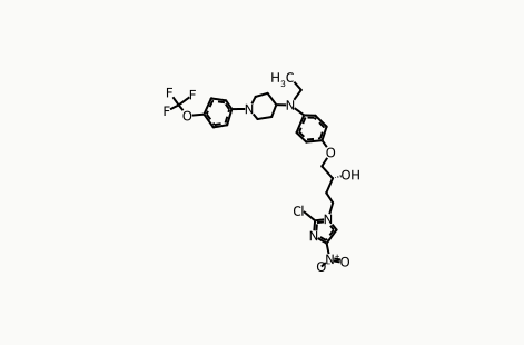 CCN(c1ccc(OC[C@H](O)CCn2cc([N+](=O)[O-])nc2Cl)cc1)C1CCN(c2ccc(OC(F)(F)F)cc2)CC1